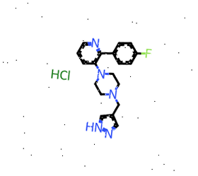 Cl.Fc1ccc(-c2ncccc2N2CCN(Cc3cn[nH]c3)CC2)cc1